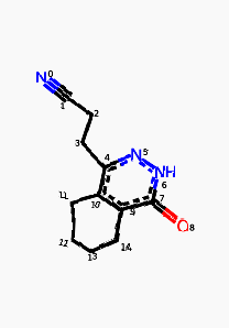 N#CCCc1n[nH]c(=O)c2c1CCCC2